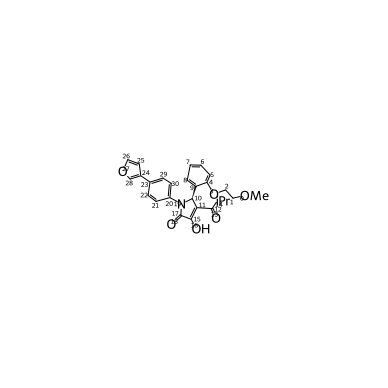 COCCOc1ccccc1[C@H]1C(C(=O)C(C)C)=C(O)C(=O)N1c1ccc(-c2ccoc2)cc1